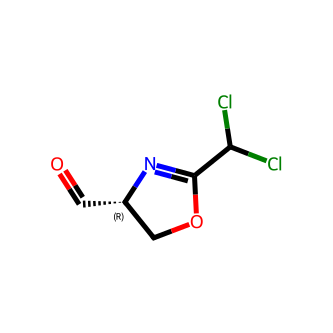 O=C[C@H]1COC(C(Cl)Cl)=N1